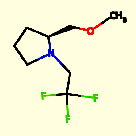 COC[C@@H]1CCCN1CC(F)(F)F